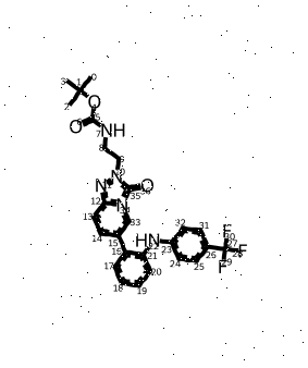 CC(C)(C)OC(=O)NCCn1nc2ccc(-c3ccccc3Nc3ccc(C(F)(F)F)cc3)cn2c1=O